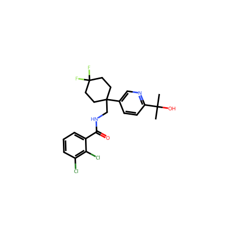 CC(C)(O)c1ccc(C2(CNC(=O)c3cccc(Cl)c3Cl)CCC(F)(F)CC2)cn1